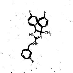 CC1(c2ccc(F)cc2)N=C(NCc2cccc(F)c2)NC1c1ccc(F)cc1